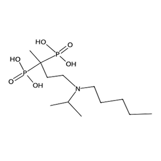 CCCCCN(CCC(C)(P(=O)(O)O)P(=O)(O)O)C(C)C